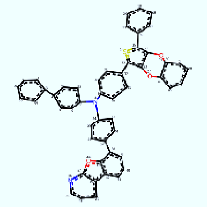 c1ccc(-c2ccc(N(c3ccc(-c4sc(-c5ccccc5)c5c4Oc4ccccc4O5)cc3)c3ccc(-c4cccc5c4oc4ncccc45)cc3)cc2)cc1